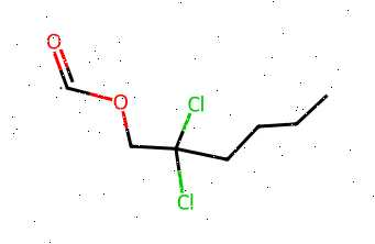 CCCCC(Cl)(Cl)CO[C]=O